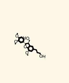 COc1ccc([C@H]2Oc3c(OC)cc(CCCO)cc3[C@@H]2CO)cc1OC